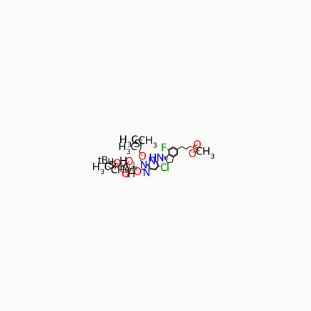 CC(C)(C)[Si](C)(C)O[C@@H]1CO[C@H]2[C@@H]1OC[C@H]2Oc1nc2cc(Cl)c(N[C@H]3CCc4cc(CCCS(C)(=O)=O)cc(F)c43)nc2n1COCC[Si](C)(C)C